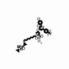 COc1ccc2c(c1)oc1c(O[C@@H]3C[C@@H](C(N)=O)N(C(=O)CCCCCC/C=C\[C@@H]4C[C@@H]4C(=O)NS(=O)(=O)C4CC4)C3)cc(-c3ccc(C(F)(F)F)cc3)nc12